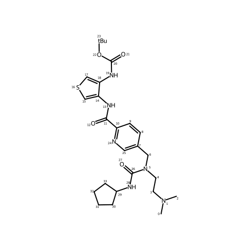 CN(C)CCN(Cc1ccc(C(=O)Nc2cscc2NC(=O)OC(C)(C)C)nc1)C(=O)NC1CCCC1